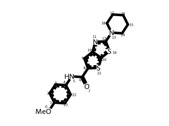 COc1ccc(NC(=O)c2cc3nc(N4CCCCC4)sc3s2)cc1